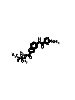 CS(=S)C(C)(C)CNC(=O)c1cc2cc(NC(=O)c3cnc(N)s3)ccc2s1